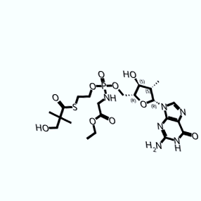 CCOC(=O)CNP(=O)(OCCSC(=O)C(C)(C)CO)OC[C@H]1O[C@@H](n2cnc3c(=O)[nH]c(N)nc32)[C@@H](C)[C@@H]1O